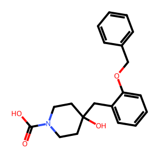 O=C(O)N1CCC(O)(Cc2ccccc2OCc2ccccc2)CC1